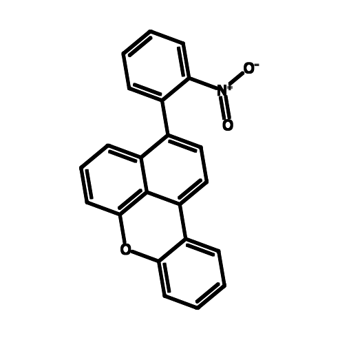 O=[N+]([O-])c1ccccc1-c1ccc2c3c(cccc13)Oc1ccccc1-2